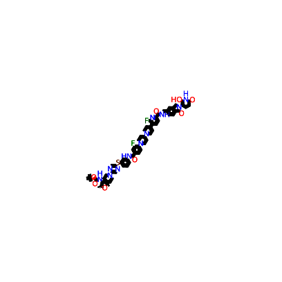 C[C@@H]1OCC2(CCN(c3cnc(Sc4cccc(NC(=O)c5ccc(N6CCC(N7CC=C(c8ccc(C(=O)NCc9ccc%10c(c9)CN(C9CCC(=O)NC9O)C%10=O)nc8F)CC7)CC6)c(F)c5)c4)cn3)CC2)[C@@H]1NC(=O)OC(C)(C)C